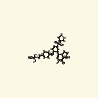 Cn1cc(-c2cc(S(=O)(=O)N3CCCC3)ccc2Oc2ccc(/C=C/[Si](C)(C)O)cc2)c2cc[nH]c2c1=O